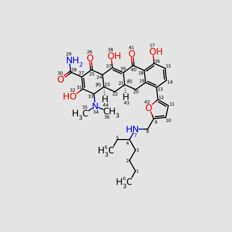 CCCCC(CC)NCc1ccc(-c2ccc(O)c3c2C[C@H]2C[C@@H]4C(C(=O)C(C(N)=O)=C(O)C4N(C)C)C(O)=C2C3=O)o1